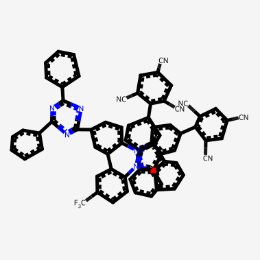 N#Cc1cc(C#N)c(-c2ccc3c(c2)c2ccccc2n3-c2ccc(-c3nc(-c4ccccc4)nc(-c4ccccc4)n3)cc2-c2cc(C(F)(F)F)ccc2-n2c3ccccc3c3cc(-c4c(C#N)cc(C#N)cc4C#N)ccc32)c(C#N)c1